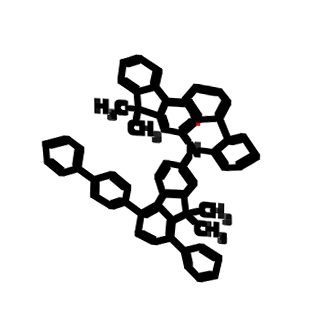 CC1(C)c2ccccc2-c2ccc(N(c3ccc4c(c3)C(C)(C)c3c(-c5ccccc5)ccc(-c5ccc(-c6ccccc6)cc5)c3-4)c3ccccc3-c3ccccc3)cc21